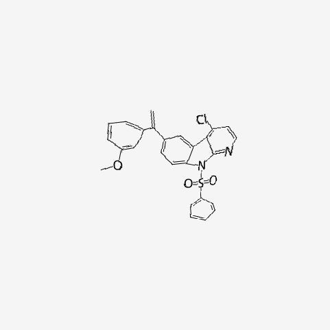 C=C(c1cccc(OC)c1)c1ccc2c(c1)c1c(Cl)ccnc1n2S(=O)(=O)c1ccccc1